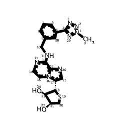 Cn1nnc(-c2cccc(CNc3nccn4c([C@@H]5SC[C@@H](O)[C@H]5O)cnc34)c2)n1